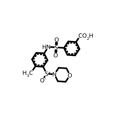 Cc1ccc(NS(=O)(=O)c2cccc(C(=O)O)c2)cc1[S+]([O-])N1CCOCC1